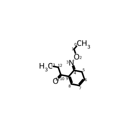 CCON=C1CC=CC=C1C(=O)CC